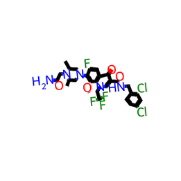 COc1c(N2CC(C)N(CC(N)=O)C(C)C2)c(F)cc2c(=O)c(C(=O)NCc3ccc(Cl)cc3Cl)cn(CC(F)(F)F)c12